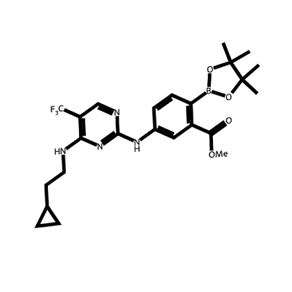 COC(=O)c1cc(Nc2ncc(C(F)(F)F)c(NCCC3CC3)n2)ccc1B1OC(C)(C)C(C)(C)O1